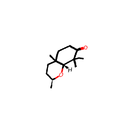 C[C@H]1CCC2(C)CCC(=O)C(C)(C)[C@@H]2O1